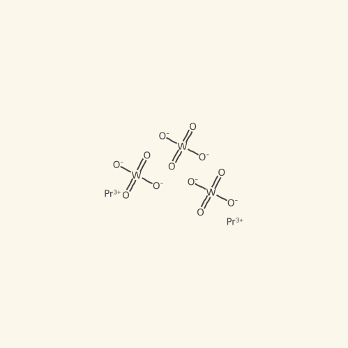 [O]=[W](=[O])([O-])[O-].[O]=[W](=[O])([O-])[O-].[O]=[W](=[O])([O-])[O-].[Pr+3].[Pr+3]